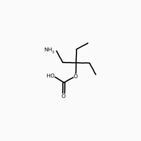 CCC(CC)(CC)OC(=O)O.N